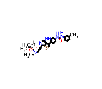 CCN(CC#Cc1ncc(N)c2c(-c3ccc(NC(=O)Nc4cccc(C)c4)cc3)csc12)C(=O)OC(C)(C)C